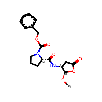 CCO[C@@H]1OC(=O)C[C@@H]1NC(=O)[C@@H]1CCCN1C(=O)OCc1ccccc1